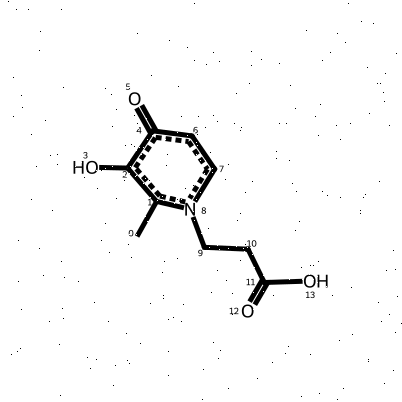 Cc1c(O)c(=O)ccn1CCC(=O)O